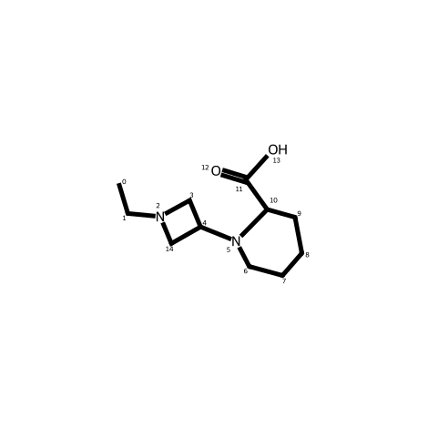 CCN1CC(N2CCCCC2C(=O)O)C1